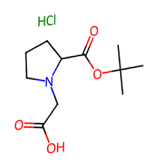 CC(C)(C)OC(=O)C1CCCN1CC(=O)O.Cl